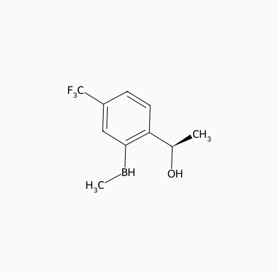 CBc1cc(C(F)(F)F)ccc1[C@@H](C)O